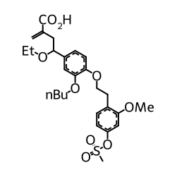 C=C(CC(OCC)c1ccc(OCCc2ccc(OS(C)(=O)=O)cc2OC)c(OCCCC)c1)C(=O)O